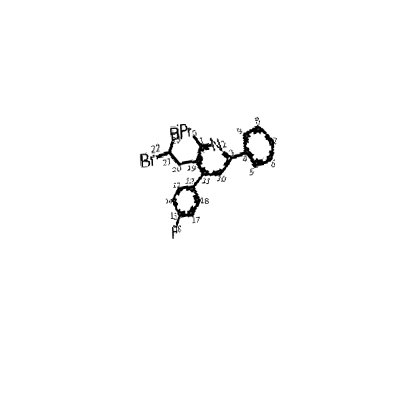 CC(C)c1nc(-c2ccccc2)cc(-c2ccc(F)cc2)c1CC(Br)Br